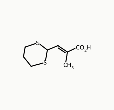 CC(=CC1SCCCS1)C(=O)O